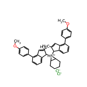 COc1ccc(-c2cccc3c2C=C(C)[CH]3[Hf+2]2([CH]3C(C)=Cc4c(-c5ccc(OC)cc5)cccc43)[CH]3CCCC[CH]32)cc1.[Cl-].[Cl-]